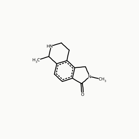 CC1NCCc2c1ccc1c2CN(C)C1=O